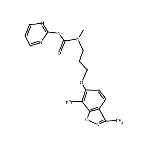 CCCc1c(OCCCN(C)C(=O)Nc2ncccn2)ccc2c(C(F)(F)F)noc12